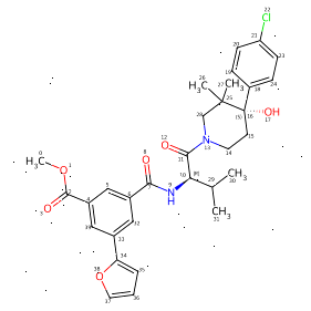 COC(=O)c1cc(C(=O)N[C@@H](C(=O)N2CC[C@](O)(c3ccc(Cl)cc3)C(C)(C)C2)C(C)C)cc(-c2ccco2)c1